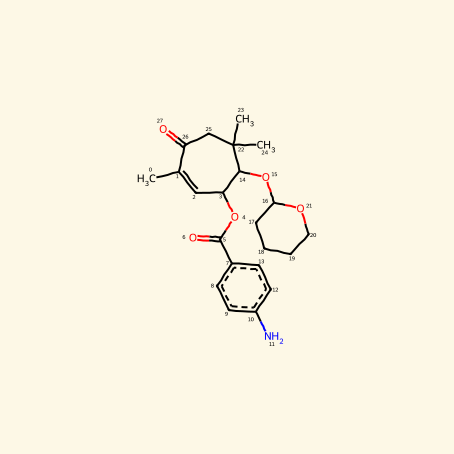 CC1=CC(OC(=O)c2ccc(N)cc2)C(OC2CCCCO2)C(C)(C)CC1=O